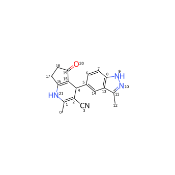 CC1=C(C#N)C(c2ccc3[nH]nc(C)c3c2)C2=C(CCC2=O)N1